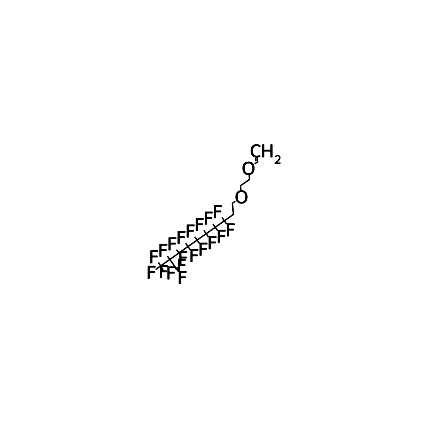 C=COCCOCCC(F)(F)C(F)(F)C(F)(F)C(F)(F)C(F)(F)C(F)(F)C(F)(C(F)(F)F)C(F)(F)F